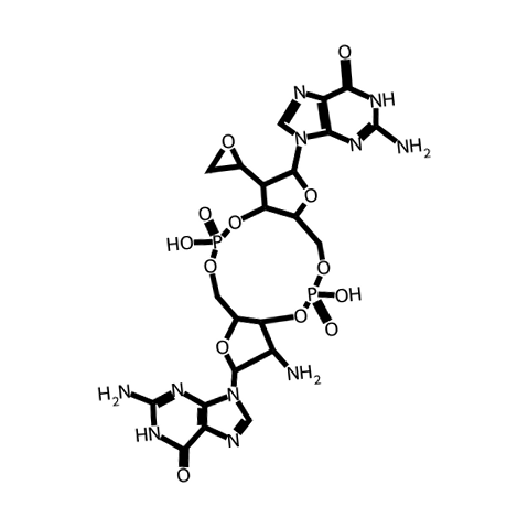 Nc1nc2c(ncn2C2OC3COP(=O)(O)OC4C(COP(=O)(O)OC3C2N)OC(n2cnc3c(=O)[nH]c(N)nc32)C4C2CO2)c(=O)[nH]1